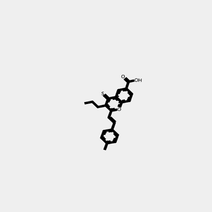 CCCc1c(/C=C/c2ccc(C)cc2)oc2ccc(C(=O)O)cc2c1=S